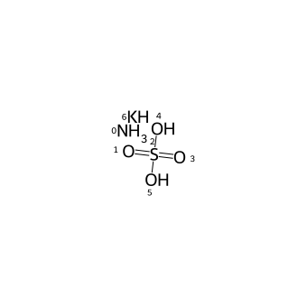 N.O=S(=O)(O)O.[KH]